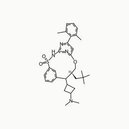 Cc1cccc(C)c1-c1cc2nc(n1)NS(=O)(=O)c1cccc(c1)C(C1CC(N(C)C)C1)[C@H](CC(C)(C)C)CO2